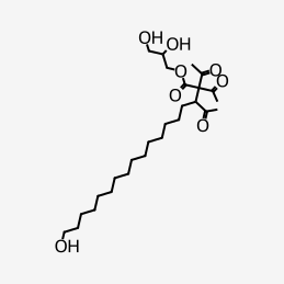 CC(=O)C(CCCCCCCCCCCCCCCO)C(C(C)=O)(C(C)=O)C(=O)OCC(O)CO